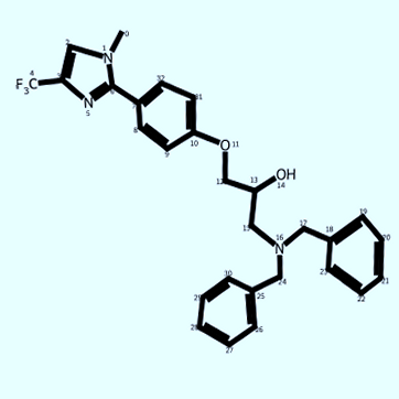 Cn1cc(C(F)(F)F)nc1-c1ccc(OCC(O)CN(Cc2ccccc2)Cc2ccccc2)cc1